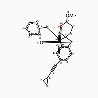 COC1CCC2(CC1)Cc1ccc(C#CC3CC3)cc1C21NC(=O)N(Cc2cccnn2)C1=O